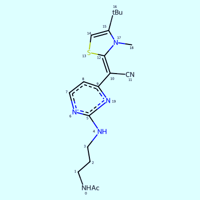 CC(=O)NCCCNc1nccc(C(C#N)=C2SC=C(C(C)(C)C)N2C)n1